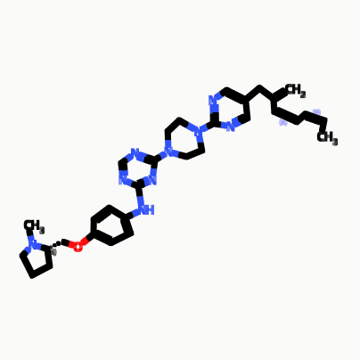 C=C(/C=C\C=C/C)Cc1cnc(N2CCN(c3ncnc(Nc4ccc(OC[C@@H]5CCCN5C)cc4)n3)CC2)nc1